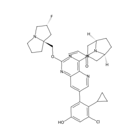 C=CC(=O)N1[C@@H]2CC[C@H]1CN(c1nc(OC[C@@]34CCCN3C[C@H](F)C4)nc3cc(-c4cc(O)cc(Cl)c4C4CC4)cnc13)C2